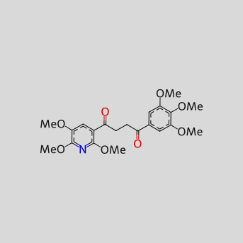 COc1cc(C(=O)CCC(=O)c2cc(OC)c(OC)c(OC)c2)c(OC)nc1OC